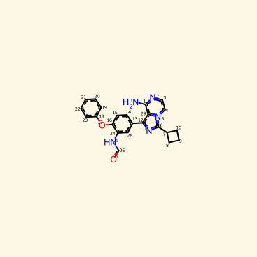 Nc1nccn2c(C3CCC3)nc(-c3ccc(Oc4ccccc4)c(NC=O)c3)c12